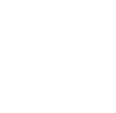 CC(C)N1CCNC(c2ccccc2)C1C